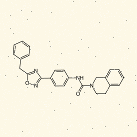 O=C(Nc1ccc(-c2noc(Cc3ccccc3)n2)cc1)N1CCc2ccccc2C1